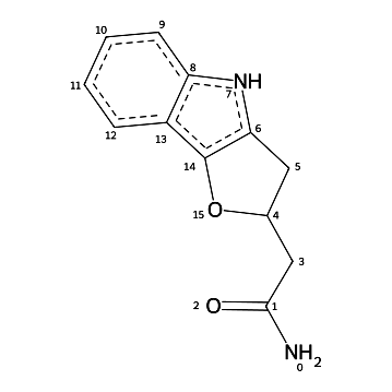 NC(=O)CC1Cc2[nH]c3ccccc3c2O1